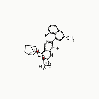 COc1nc(N2CC3CCC(C2)N3CCCN)c2cnc(-c3cc(C)cc4cccc(F)c34)c(F)c2n1